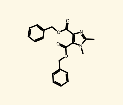 Cc1nc(C(=O)OCc2ccccc2)c(C(=O)OCc2ccccc2)n1C